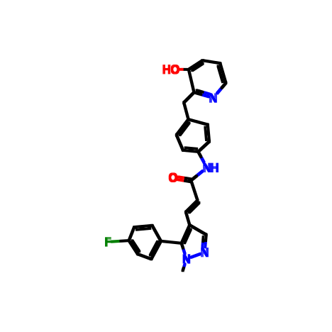 Cn1ncc(/C=C/C(=O)Nc2ccc(Cc3ncccc3O)cc2)c1-c1ccc(F)cc1